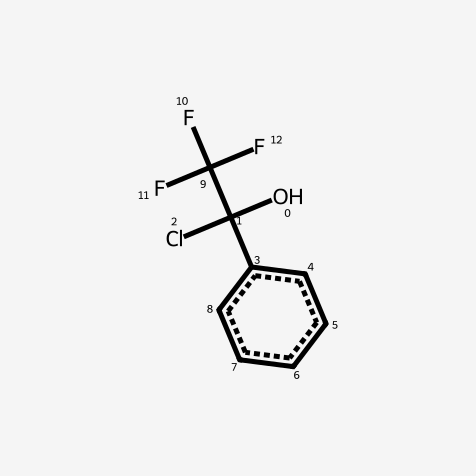 OC(Cl)(c1ccccc1)C(F)(F)F